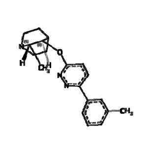 Cc1cccc(-c2ccc(O[C@@H]3C4CCN(CC4)[C@H]3C)nn2)c1